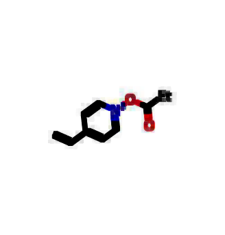 C=Cc1cc[n+](OC(=O)CC)cc1